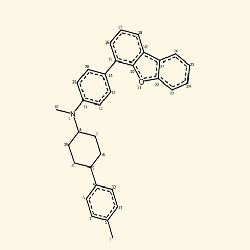 Cc1ccc(C2CCC(N(C)c3ccc(-c4cccc5c4oc4ccccc45)cc3)CC2)cc1